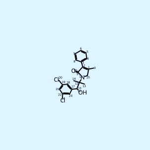 CC1=C(c2ccccc2)C(=O)N(C(C)(C)C(O)c2cc(Cl)cc(Cl)c2)C1